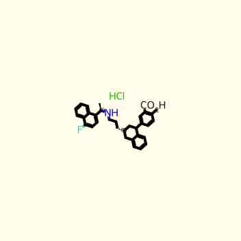 Cc1ccc(C2C[C@@H](CCCN[C@H](C)c3ccc(F)c4ccccc34)Cc3ccccc32)cc1C(=O)O.Cl